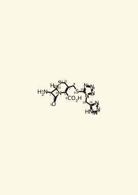 NC1C(=O)N2C(C(=O)O)=C(CSc3nnnn3Cc3nnn[nH]3)CS[C@@H]12